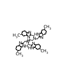 Cc1ccc2nc(CN(CCN(Cc3nc4ccc(C)cc4[nH]3)Cc3nc4ccc(C)cc4[nH]3)Cc3nc4ccc(C)cc4[nH]3)[nH]c2c1